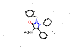 CC(=O)Nc1c(-c2ccccc2)n(-c2ccccc2)n(Cc2ccccc2)c1=O